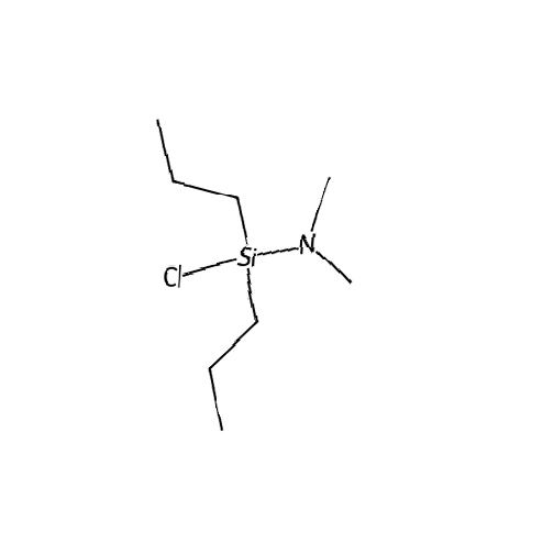 CCC[Si](Cl)(CCC)N(C)C